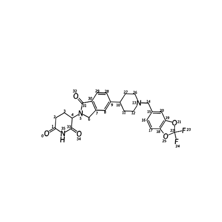 O=C1CCC(N2Cc3cc(C4CCN(Cc5ccc6c(c5)OC(F)(F)O6)CC4)ccc3C2=O)C(=O)N1